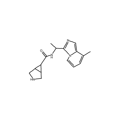 Cc1cccn2c(C(C)NC(=O)C3C4CNCC43)ncc12